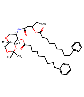 CCCCCCCCCCCC(CC(=O)N[C@H]1CO[C@@H]2COC(C)(C)O[C@H]2[C@@H]1OC(=O)CCCCCCCCc1ccccc1)OC(=O)CCCCCCCCc1ccccc1